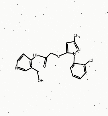 O=C(COc1cc(C(F)(F)F)nn1-c1ccccc1Cl)Nc1ccncc1CO